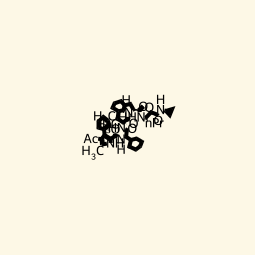 CCC[C@H](NC(=O)[C@@H]1C[C@@H]2CCCC3[C@@H]2N1C(=O)[C@@H](NC(=O)[C@@H](NC(=O)c1[nH]c(C)c(C(C)=O)c1-c1ccccc1)C1CCCCC1)C3(C)C)C(=O)C(=O)NC1CC1